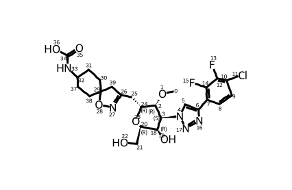 CO[C@@H]1[C@@H](n2cc(-c3ccc(Cl)c(F)c3F)nn2)[C@@H](O)[C@@H](CO)O[C@@H]1CC1=NOC2(CCC(NC(=O)O)CC2)C1